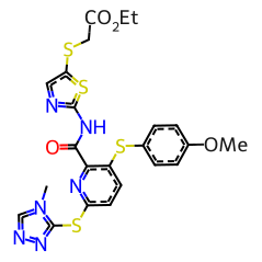 CCOC(=O)CSc1cnc(NC(=O)c2nc(Sc3nncn3C)ccc2Sc2ccc(OC)cc2)s1